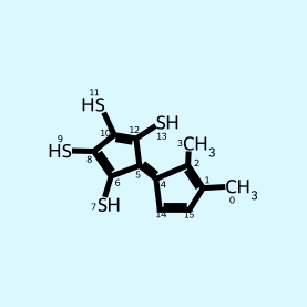 CC1=C(C)C(=C2C(S)=C(S)C(S)=C2S)C=C1